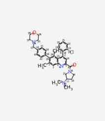 Cc1cc2nc(C(=O)N3CCC(N(C)C)C3)cc(-c3ccccc3Cl)c2c(C)c1-c1ccc(CN2CCOCC2)cc1